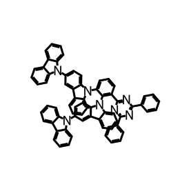 c1ccc(-c2nc(-c3ccccc3)nc(-c3cccc(-n4c5ccccc5c5cc(-n6c7ccccc7c7ccccc76)ccc54)c3-n3c4ccccc4c4cc(-n5c6ccccc6c6ccccc65)ccc43)n2)cc1